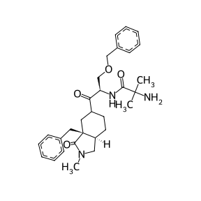 CN1C[C@@H]2CCC(C(=O)[C@@H](COCc3ccccc3)NC(=O)C(C)(C)N)C[C@@]2(Cc2ccccc2)C1=O